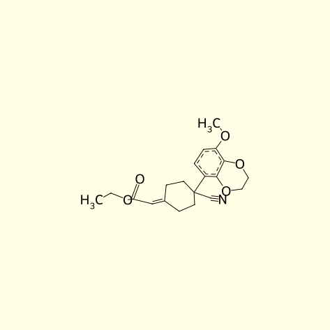 CCOC(=O)C=C1CCC(C#N)(c2ccc(OC)c3c2OCCO3)CC1